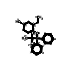 CC[C@@H]1C[C@H](O)CC[C@H]1O[Si](c1ccccc1)(c1ccccc1)C(C)(C)C